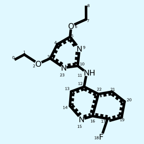 CCOc1cc(OCC)nc(Nc2ccnc3c(F)cccc23)n1